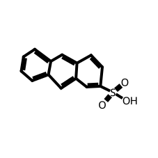 O=S(=O)(O)c1ccc2cc3ccccc3cc2c1